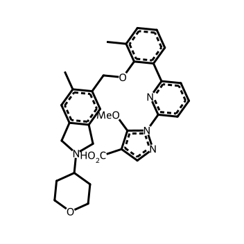 COc1c(C(=O)O)cnn1-c1cccc(-c2cccc(C)c2OCc2cc3c(cc2C)CN(C2CCOCC2)C3)n1